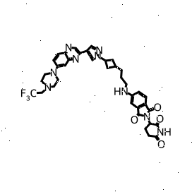 O=C1CCC(N2C(=O)c3ccc(NCCCC4CC(n5cc(-c6cnc7ccc(N8CCN(CC(F)(F)F)CC8)cc7n6)cn5)C4)cc3C2=O)C(=O)N1